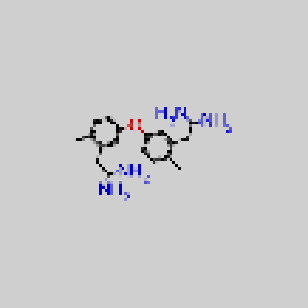 Cc1ccc(Oc2ccc(C)c(CC(N)N)c2)cc1CC(N)N